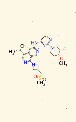 CO[C@@H]1CCN(c2nccc(Nc3cc4c(C(C)C)cnc(N5CC(CS(C)(=O)=O)C5)c4cn3)n2)C[C@@H]1F